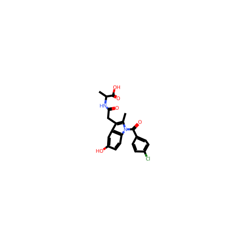 Cc1c(CC(=O)NC(C)C(=O)O)c2cc(O)ccc2n1C(=O)c1ccc(Cl)cc1